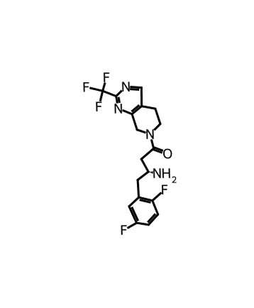 N[C@@H](CC(=O)N1CCc2cnc(C(F)(F)F)nc2C1)Cc1cc(F)ccc1F